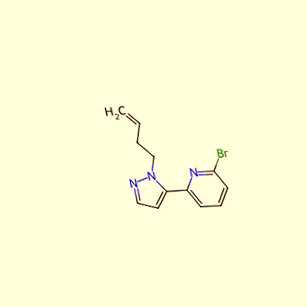 C=CCCn1nccc1-c1cccc(Br)n1